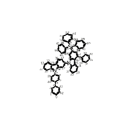 c1ccc(-c2ccc(-n3c4ccccc4c4ccc(-n5c6ccccc6c6c(-c7ccccc7)cc([Si](c7ccccc7)(c7ccccc7)c7ccccc7)cc65)cc43)cc2)cc1